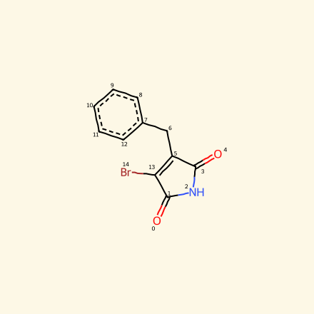 O=C1NC(=O)C(Cc2ccccc2)=C1Br